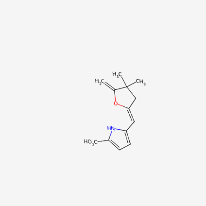 C=C1OC(=Cc2ccc(C(=O)O)[nH]2)CC1(C)C